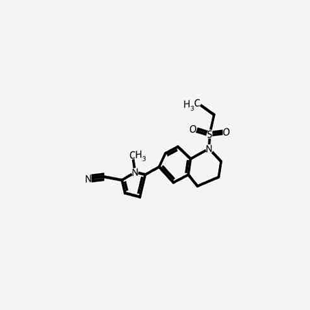 CCS(=O)(=O)N1CCCc2cc(-c3ccc(C#N)n3C)ccc21